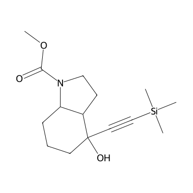 COC(=O)N1CCC2C1CCCC2(O)C#C[Si](C)(C)C